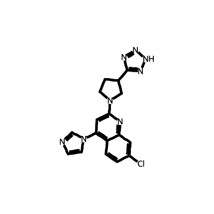 Clc1ccc2c(-n3ccnc3)cc(N3CCC(c4nn[nH]n4)C3)nc2c1